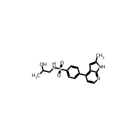 Cc1cc2c(-c3ccc(S(=O)(=O)NCC(C)O)cc3)ccnc2[nH]1